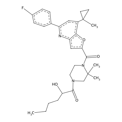 CCCCC(O)C(=O)N1CCN(C(=O)c2cc3nc(-c4ccc(F)cc4)cc(C4(C)CC4)c3o2)C(C)(C)C1